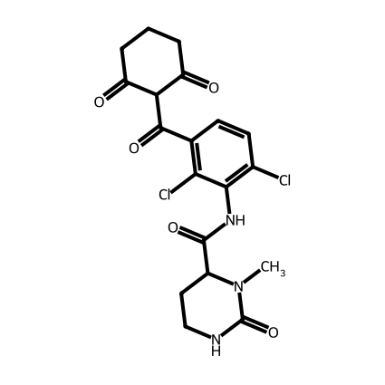 CN1C(=O)NCCC1C(=O)Nc1c(Cl)ccc(C(=O)C2C(=O)CCCC2=O)c1Cl